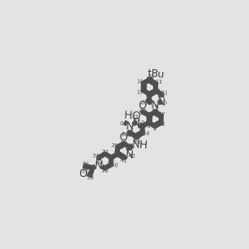 Cn1nc(-c2cccc(-n3ncc4cc(C(C)(C)C)ccc4c3=O)c2CO)cc(Nc2ccc(C3CCN(C4COC4)CC3)cn2)c1=O